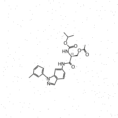 CC(=O)OC[C@H](NC(=O)OC(C)C)C(=O)Nc1ccc2cnn(-c3cccc(C)c3)c2c1